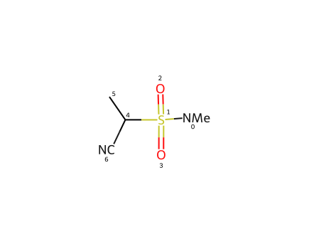 CNS(=O)(=O)C(C)C#N